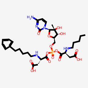 CCCCCN[C@@H](CC(=O)O)C(=O)OP(=O)(OC[C@H]1O[C@@H](n2ccc(N)nc2=O)[C@](C)(O)[C@@H]1O)OC(=O)[C@H](CC(=O)O)NCCCCCc1ccccc1